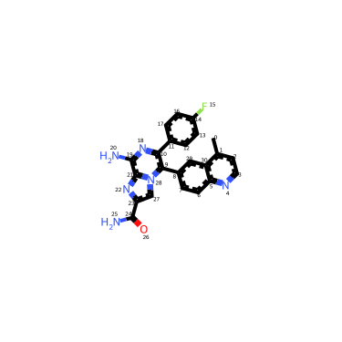 Cc1ccnc2ccc(-c3c(-c4ccc(F)cc4)nc(N)c4nc(C(N)=O)cn34)cc12